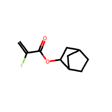 C=C(F)C(=O)OC1CC2CCC1C2